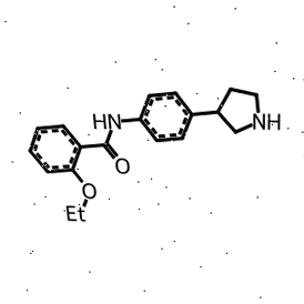 CCOc1ccccc1C(=O)Nc1ccc(C2CCNC2)cc1